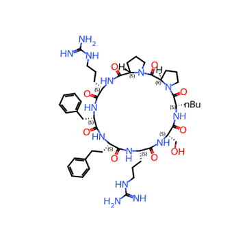 CCCC[C@@H]1NC(=O)[C@H](CO)NC(=O)[C@H](CCCNC(=N)N)NC(=O)[C@H](CCc2ccccc2)NC(=O)[C@H](Cc2ccccc2)NC(=O)[C@H](CCCNC(=N)N)NC(=O)[C@@H]2CCCN2C(=O)[C@H]2CCCN2C1=O